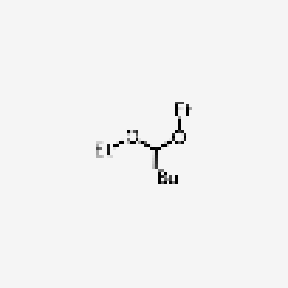 CCOC(OCC)C(C)CC